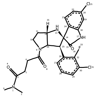 CN(C)C(=O)CCC(=O)N1CC[C@@H]2N[C@@]3(C(=O)Nc4cc(Cl)ccc43)[C@@H](c3cccc(Cl)c3F)C21